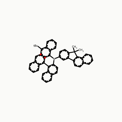 CC(C)(C)c1ccc(N(c2ccc3c(c2)-c2ccc4ccccc4c2C3(C)C)c2ccc3ccccc3c2-c2cccc3ccccc23)c2ccccc12